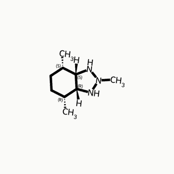 C[C@@H]1CC[C@H](C)[C@@H]2NN(C)N[C@@H]21